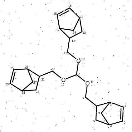 C1=CC2CC1CC2CO[C](OCC1CC2C=CC1C2)OCC1CC2C=CC1C2